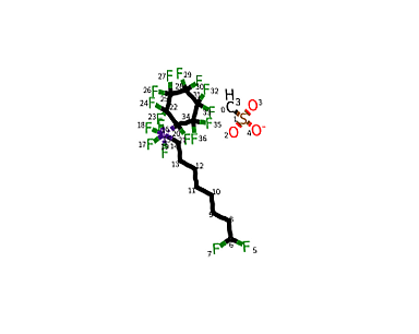 CS(=O)(=O)[O-].FC(F)CCCCCCC[I+](F)(F)(F)(F)C1(F)C(F)(F)C(F)(F)C(F)(F)C(F)(F)C1(F)F